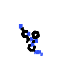 C[C@@H](c1ccc(C#N)cn1)n1c(N2CCC[C@H](N)C2)nc2ccccc21